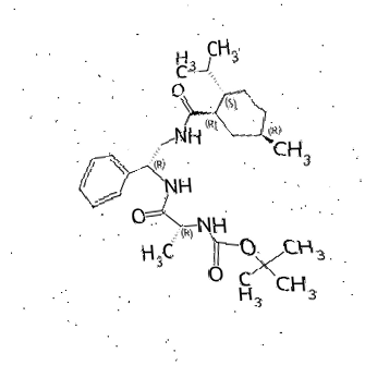 CC(C)[C@@H]1CC[C@@H](C)C[C@H]1C(=O)NC[C@H](NC(=O)[C@@H](C)NC(=O)OC(C)(C)C)c1ccccc1